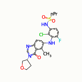 CCCS(=O)(=O)Nc1ccc(F)c(Nc2ccc3ncn([C@@H]4CCOC4)c(=O)c3c2C)c1Cl